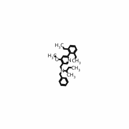 CCc1cccc(CC)c1-c1cc(OC)c(CN(Cc2ccccc2)C(C)CC)cn1